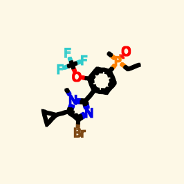 CCP(C)(=O)c1ccc(-c2nc(Br)c(C3CC3)n2C)c(OC(F)(F)F)c1